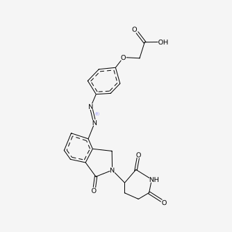 O=C(O)COc1ccc(/N=N/c2cccc3c2CN(C2CCC(=O)NC2=O)C3=O)cc1